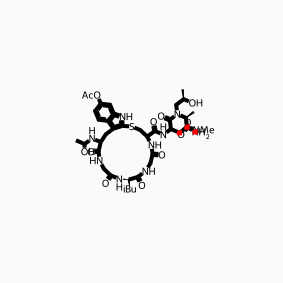 CC[C@H](C)[C@@H]1NC(=O)CNC(=O)C(NC(C)O)Cc2c([nH]c3cc(OC(C)=O)ccc23)SCC(C(=O)NC(CC(N)=O)C(=O)N(C[C@@H](C)O)[C@@H](C)C(=O)NC)NC(=O)CNC1=O